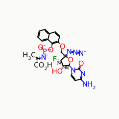 C[C@H](/N=[P+](\[O-])Oc1c(OC[C@@]2(N=[N+]=[N-])O[C@@H](n3ccc(N)nc3=O)[C@H](O)[C@@H]2F)ccc2ccccc12)C(=O)O